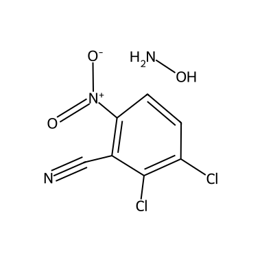 N#Cc1c([N+](=O)[O-])ccc(Cl)c1Cl.NO